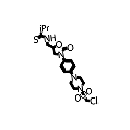 CC(C)C(=S)NCC1CN(c2ccc(N3CCN(S(=O)(=O)CCl)CC3)cc2)C(=O)O1